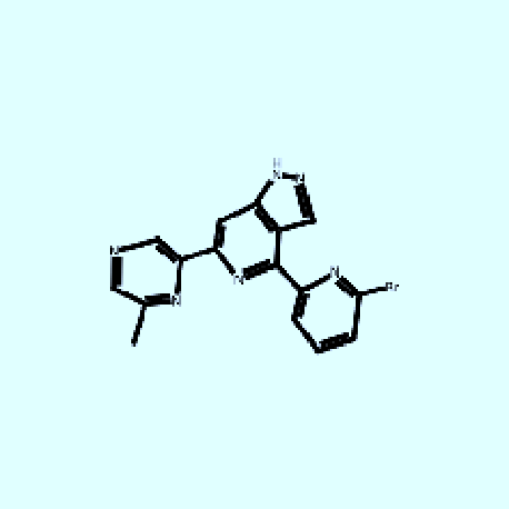 Cc1cncc(-c2cc3[nH]ncc3c(-c3cccc(Br)n3)n2)n1